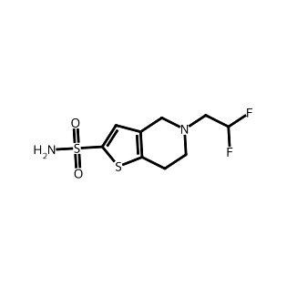 NS(=O)(=O)c1cc2c(s1)CCN(CC(F)F)C2